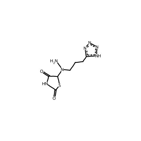 NN(CCCc1nnn[nH]1)C1SC(=O)NC1=O